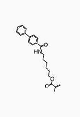 C=C(C)C(=O)OCCCCCCNC(=O)c1ccc(-c2ccccc2)cc1